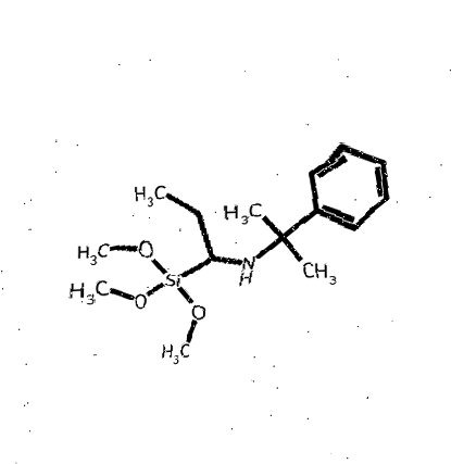 CCC(NC(C)(C)c1ccccc1)[Si](OC)(OC)OC